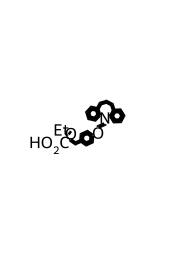 CCOC(Cc1ccc(OCCN2c3ccccc3CCCc3ccccc32)cc1)C(=O)O